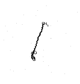 CCCCCCCCCCCCCCCCCCCCCC(=O)OCCN1CCOCC1